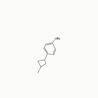 CCCCc1ccc(C2CC(C)C2)cc1